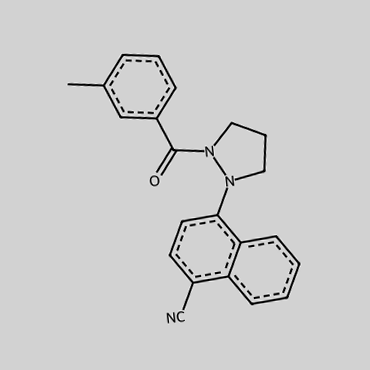 Cc1cccc(C(=O)N2CCCN2c2ccc(C#N)c3ccccc23)c1